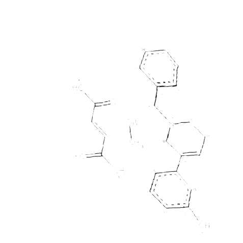 CO.O=C(O)C=CC(=O)O.Oc1cccc(C2=CCCN(Cc3ccccc3)C2)c1